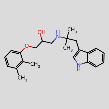 Cc1cccc(OCC(O)CNC(C)(C)Cc2c[nH]c3ccccc23)c1C